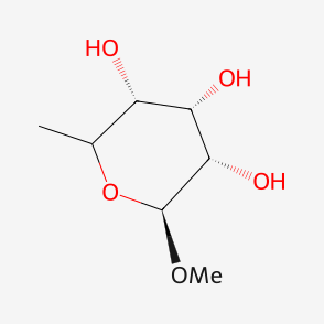 CO[C@H]1OC(C)[C@H](O)[C@H](O)[C@@H]1O